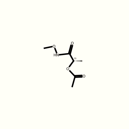 CONC(=O)[C@H](C)OC(C)=O